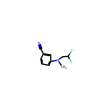 CN(CC(F)F)c1cccc(C#N)c1